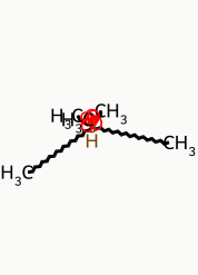 CCCCCCCCCCCCCCCCCC[SH](CCCCCCCCCCCCCCCCCC)(OC(=O)CC)(OC(=O)CC)C(C)=O